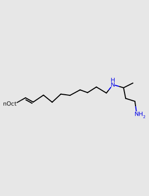 CCCCCCCCC=CCCCCCCCCNC(C)CCN